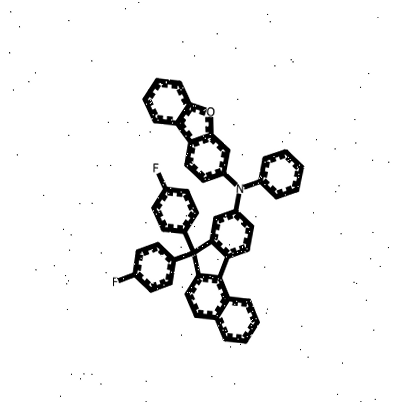 Fc1ccc(C2(c3ccc(F)cc3)c3cc(N(c4ccccc4)c4ccc5c(c4)oc4ccccc45)ccc3-c3c2ccc2ccccc32)cc1